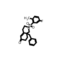 Cc1ccc(F)cc1S(=O)(=O)N1CCC2=CC(=O)CCC2(Cc2ccccc2)C1